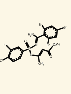 COC(=O)C=C(C)OP(=O)(N=C(N)c1c(Br)cc(Br)cc1Br)c1ccc(Cl)c(Cl)c1